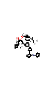 CCCCCC[C@@H]1C[C@@]1(CC(C)[C@@H]1C[C@H](C2=CC=C(c3ccccc3/C=C/c3ccccc3)C2)CC1C(C)CCC(C)CC1CCCC1)C(C)O